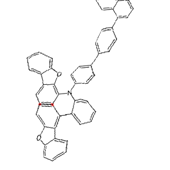 c1ccc(N(c2ccc(-c3ccc(-c4cccc5ccccc45)cc3)cc2)c2cccc3c2oc2ccccc23)c(-c2cccc3oc4ccccc4c23)c1